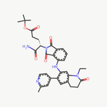 CCN1C(=O)CCc2cc(-c3ccnc(C)c3)c(Nc3cccc4c3C(=O)N([C@@H](CCC(=O)OC(C)(C)C)C(N)=O)C4=O)cc21